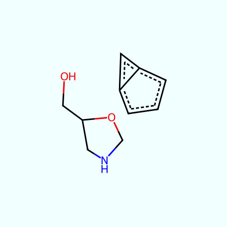 OCC1CNCO1.c1cc2cc-2c1